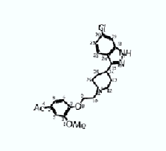 COc1cc(C(C)=O)ccc1OCCN1CCC(c2n[nH]c3cc(Cl)ccc23)CC1